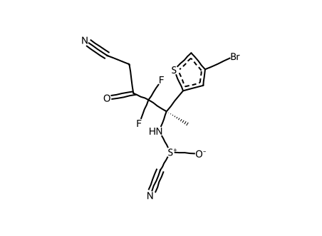 C[C@@](N[S+]([O-])C#N)(c1cc(Br)cs1)C(F)(F)C(=O)CC#N